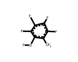 FOc1c(F)c(F)c(F)c(F)c1C(F)(F)F